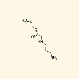 C=CCOC(=O)CNCCCN